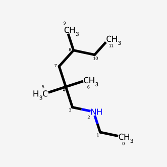 CCNCC(C)(C)CC(C)CC